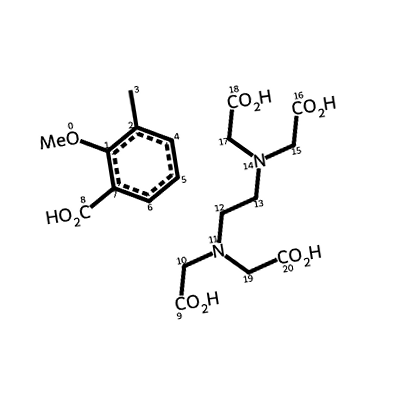 COc1c(C)cccc1C(=O)O.O=C(O)CN(CCN(CC(=O)O)CC(=O)O)CC(=O)O